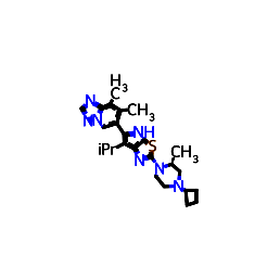 Cc1c(-c2[nH]c3sc(N4CCN(C5CCC5)C[C@@H]4C)nc3c2C(C)C)cn2ncnc2c1C